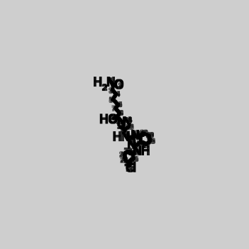 NC(=O)CCCCCCC(O)n1cc(Nc2nc(Nc3cccc(Cl)c3)c3ccccc3n2)cn1